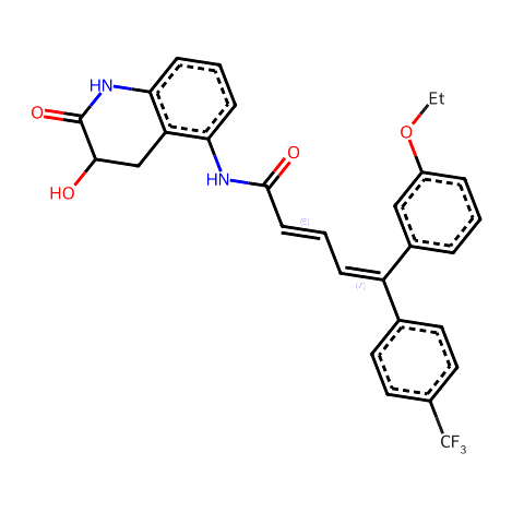 CCOc1cccc(/C(=C\C=C\C(=O)Nc2cccc3c2CC(O)C(=O)N3)c2ccc(C(F)(F)F)cc2)c1